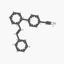 C#Cc1ccc(-c2ccccc2C=Cc2ccccc2)cc1